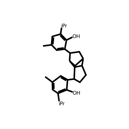 Cc1cc(C(C)C)c(O)c(C2CC3CC2C2C(c4cc(C)cc(C(C)C)c4O)CCC32)c1